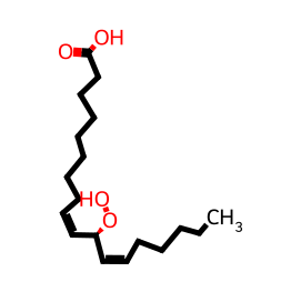 CCCCC/C=C\[C@@H](/C=C\CCCCCCCC(=O)O)OO